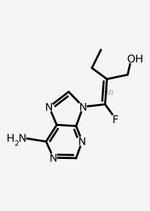 CC/C(CO)=C(/F)n1cnc2c(N)ncnc21